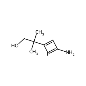 CC(C)(CO)C1=CC(N)=P1